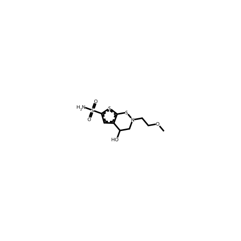 COCCN1CC(O)c2cc(S(N)(=O)=O)sc2S1